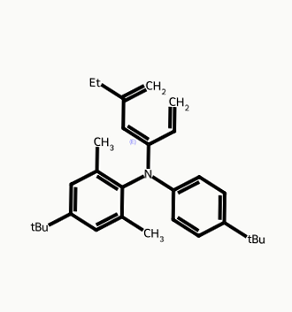 C=C/C(=C\C(=C)CC)N(c1ccc(C(C)(C)C)cc1)c1c(C)cc(C(C)(C)C)cc1C